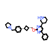 c1ccc(-c2cc(C3CCCNC3)nc(OC[C@H]3C[C@@H](c4ccc(CN5CCCC5)cc4)C3)n2)cc1